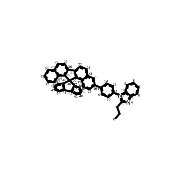 CCCc1nc2ccccc2n1-c1ccc(-c2ccc3c4c(ccc3c2)-c2ccc3ccccc3c2C42c3ccccc3-c3ccccc32)cc1